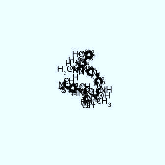 CCNc1nn(C2CCN(CC3CCN(C(=N)/C=C(\O)C(C(=O)N4C[C@H](O)C[C@H]4C(=O)N[C@@H](C)c4ccc(-c5scnc5C)cc4)C(C)C)CC3)CC2)c(/C=C(\N)c2ccccc2O)c1N